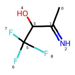 CC(=N)C(O)C(F)(F)F